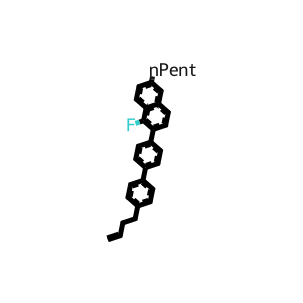 C=CCCc1ccc(-c2ccc(-c3ccc4cc(CCCCC)ccc4c3F)cc2)cc1